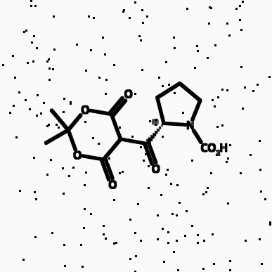 CC1(C)OC(=O)C(C(=O)[C@@H]2CCCN2C(=O)O)C(=O)O1